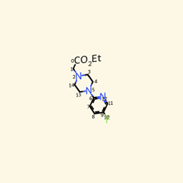 CCOC(=O)CN1CCN(c2ccc(F)cn2)CC1